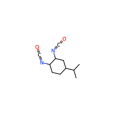 CC(C)C1CCC(N=C=O)C(N=C=O)C1